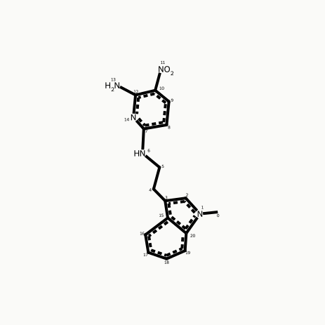 Cn1cc(CCNc2ccc([N+](=O)[O-])c(N)n2)c2ccccc21